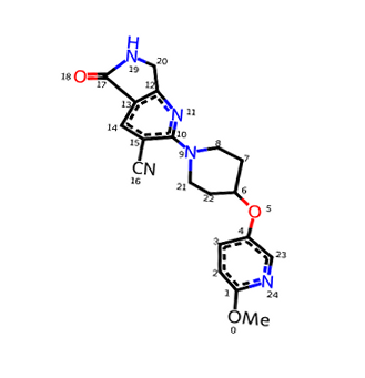 COc1ccc(OC2CCN(c3nc4c(cc3C#N)C(=O)NC4)CC2)cn1